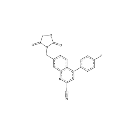 N#Cc1cc(-c2ccc(F)cc2)c2ccc(CN3C(=O)COC3=O)cc2n1